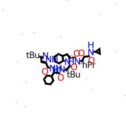 CCC[C@H](NC(=O)[C@@H]1CC2CCCCC2N1C(=O)[C@@H](NC(=O)[C@@H](NC(=O)c1cc(C(C)(C)C)n[nH]1)C1CCCCC1)C(C)(C)C)C(=O)C(=O)NC1CC1